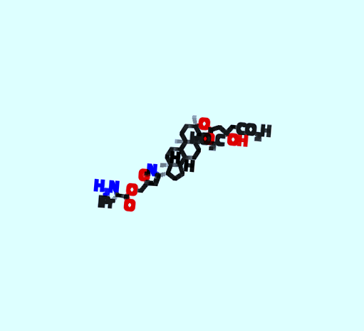 CC(C)[C@H](N)C(=O)OCc1cc([C@H]2CC[C@H]3[C@@H]4CCC5C[C@](C)(OC(=O)CC(O)(CC(=O)O)C(=O)O)CC[C@]5(C)C4CC[C@]23C)no1